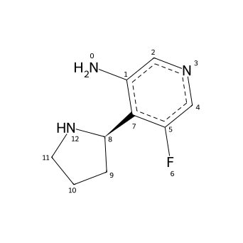 Nc1cncc(F)c1[C@H]1CCCN1